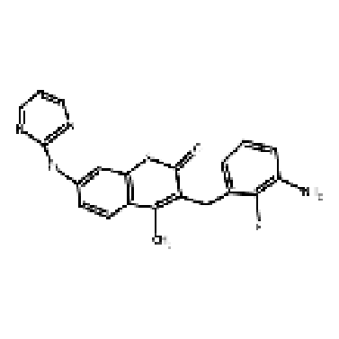 Cc1c(Cc2cccc(N)c2F)c(=O)sc2cc(Oc3ncccn3)ccc12